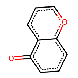 O=c1cccc2occcc1-2